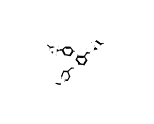 CCN1CCC(COc2ccc(C(=O)Nc3ncc(F)s3)c(Oc3ccc(-c4nnc(C)o4)cc3)c2)CC1